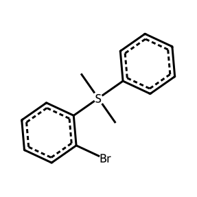 CS(C)(c1ccccc1)c1ccccc1Br